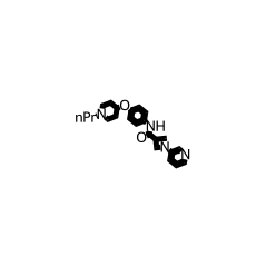 CCCN1CCC(Oc2ccc(NC(=O)C3CN(c4cccnc4)C3)cc2)CC1